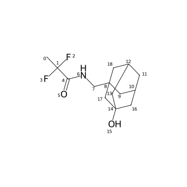 CC(F)(F)C(=O)NCC12CC3CC(CC(O)(C3)C1)C2